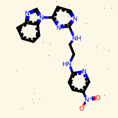 O=[N+]([O-])c1ccc(NCCNc2nccc(-n3cnc4ccccc43)n2)nc1